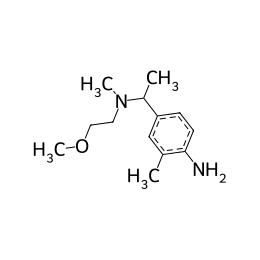 COCCN(C)C(C)c1ccc(N)c(C)c1